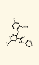 COc1cc(F)ccc1Oc1nnc(C(F)(F)F)cc1C(=O)Nc1ccnnc1